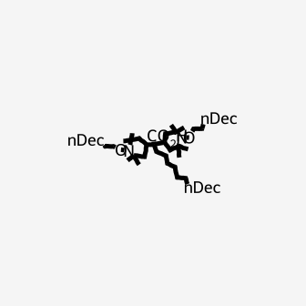 CCCCCCCCCCCCCCCCC(C(=O)O)(C1CC(C)(C)N(OCCCCCCCCCCCC)C(C)(C)C1)C1CC(C)(C)N(OCCCCCCCCCCCC)C(C)(C)C1